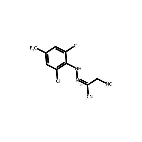 [C-]#[N+]C/C(C#N)=N\Nc1c(Cl)cc(C(F)(F)F)cc1Cl